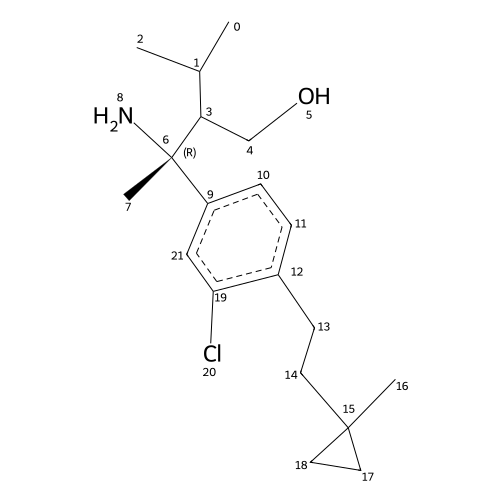 CC(C)C(CO)[C@@](C)(N)c1ccc(CCC2(C)CC2)c(Cl)c1